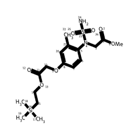 COC(=O)CN(c1ccc(OCC(=O)OCC[Si](C)(C)C)cc1C)S(N)(=O)=O